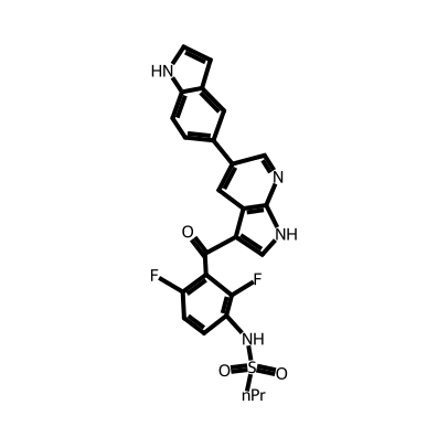 CCCS(=O)(=O)Nc1ccc(F)c(C(=O)c2c[nH]c3ncc(-c4ccc5[nH]ccc5c4)cc23)c1F